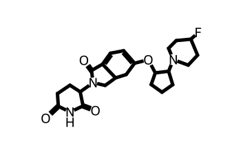 O=C1CCC(N2CC3CC(OC4CCCC4N4CCC(F)CC4)=CC=C3C2=O)C(=O)N1